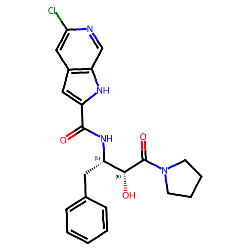 O=C(N[C@@H](Cc1ccccc1)[C@@H](O)C(=O)N1CCCC1)c1cc2cc(Cl)ncc2[nH]1